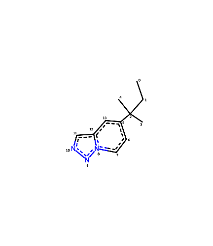 CCC(C)(C)c1ccn2nncc2c1